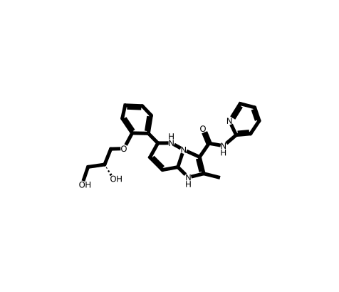 CC1=C(C(=O)Nc2ccccn2)N2NC(c3ccccc3OC[C@H](O)CO)C=CC2N1